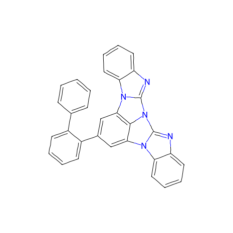 c1ccc(-c2ccccc2-c2cc3c4c(c2)n2c5ccccc5nc2n4c2nc4ccccc4n32)cc1